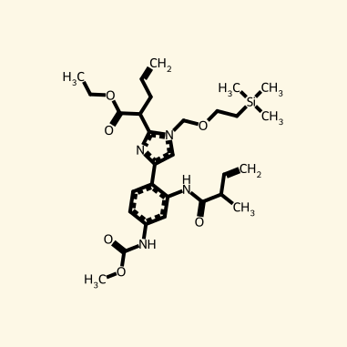 C=CCC(C(=O)OCC)c1nc(-c2ccc(NC(=O)OC)cc2NC(=O)C(C)C=C)cn1COCC[Si](C)(C)C